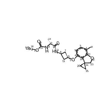 Cc1ccc(OC2CC(NC(=O)[C@@H](C)NC(=O)OC(C)(C)C)C2)c2c1OCC21CC1